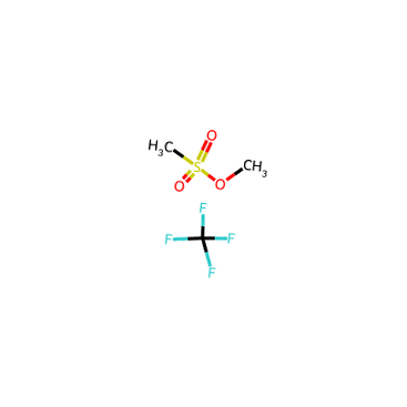 COS(C)(=O)=O.FC(F)(F)F